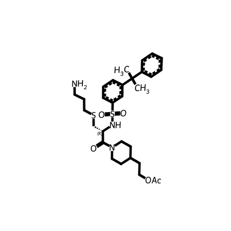 CC(=O)OCCC1CCN(C(=O)[C@H](CSCCCN)NS(=O)(=O)c2cccc(C(C)(C)c3ccccc3)c2)CC1